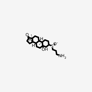 C[C@]12CC[C@@H]3[C@@H](CCC4(O)CC([S+]([O-])CCCN)CC[C@]34C)[C@@H]1CCC2=O